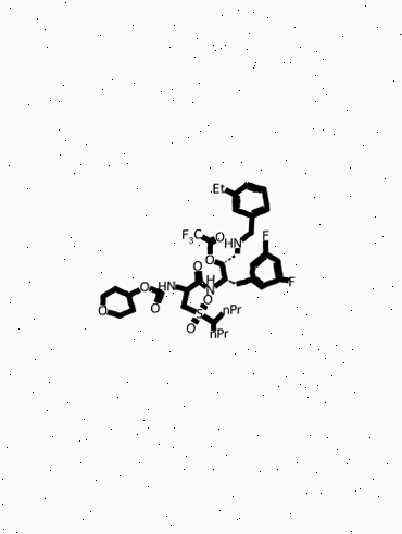 CCCC(CCC)S(=O)(=O)CC(NC(=O)OC1CCOCC1)C(=O)N[C@@H](Cc1cc(F)cc(F)c1)[C@@H](CNCc1cccc(CC)c1)OC(=O)C(F)(F)F